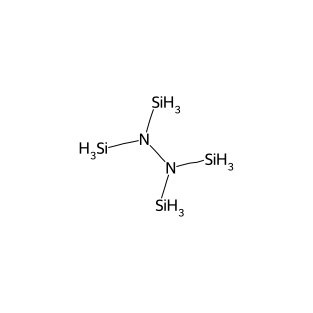 [SiH3]N([SiH3])N([SiH3])[SiH3]